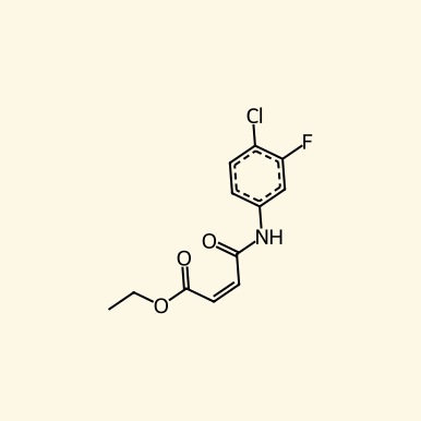 CCOC(=O)/C=C\C(=O)Nc1ccc(Cl)c(F)c1